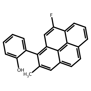 Cc1cc2ccc3cccc4c(F)cc(c1-c1ccccc1O)c2c34